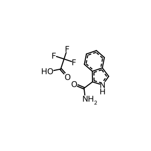 NC(=O)c1[nH]cc2ccccc12.O=C(O)C(F)(F)F